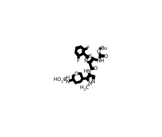 Cn1ncc(NC(=O)c2nc(-c3c(F)cccc3F)sc2NC(=O)OC(C)(C)C)c1C1CCC(NC(=O)O)COC1